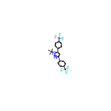 CC(C)(C)n1nc(-c2ccc(C(F)(F)F)cc2)cc1-c1ccc(C(F)(F)F)cc1